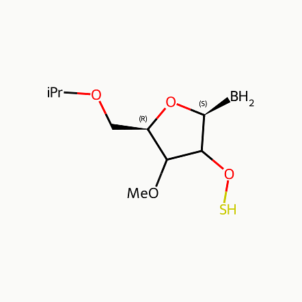 B[C@@H]1O[C@H](COC(C)C)C(OC)C1OS